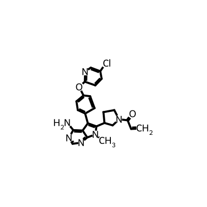 C=CC(=O)N1CCC(c2c(-c3ccc(Oc4ccc(Cl)cn4)cc3)c3c(N)ncnc3n2C)C1